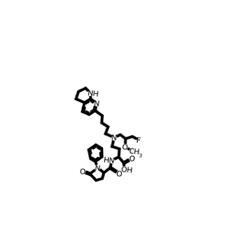 COC(CF)CN(CCCCc1ccc2c(n1)NCCC2)CCC(NC(=O)C1CCC(=O)N1c1ccccc1)C(=O)O